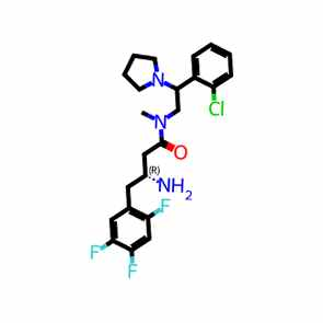 CN(CC(c1ccccc1Cl)N1CCCC1)C(=O)C[C@H](N)Cc1cc(F)c(F)cc1F